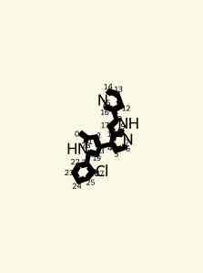 C=C1C=C(c2ccnc3[nH]c(-c4cccnc4)cc23)C=C(c2ccccc2Cl)N1